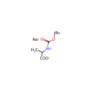 CC(NC(=O)OC(C)(C)C)C(=O)[O-].[Na+]